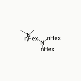 CCCCCCN(CCCCCC)CCCCCC.CN(C)C